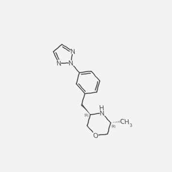 C[C@@H]1COC[C@@H](Cc2cccc(-n3nccn3)c2)N1